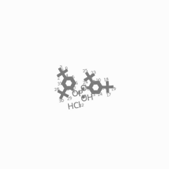 CC(C)(C)c1ccc(OP(O)Oc2ccc(C(C)(C)C)cc2C(C)(C)C)c(C(C)(C)C)c1.Cl